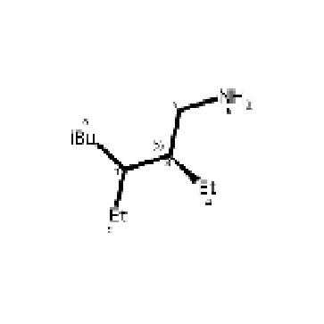 CCC(C)C(CC)[C@H](CC)CN